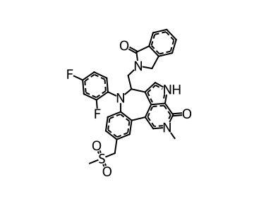 Cn1cc2c3c(c[nH]c3c1=O)C(CN1Cc3ccccc3C1=O)N(c1ccc(F)cc1F)c1ccc(CS(C)(=O)=O)cc1-2